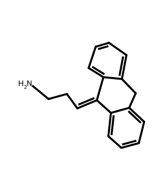 NCCC=C1c2ccccc2Cc2ccccc21